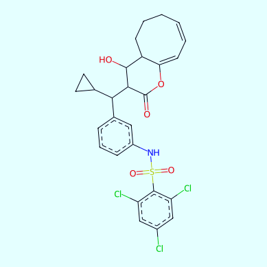 O=C1OC2=CC=CCCCC2C(O)C1C(c1cccc(NS(=O)(=O)c2c(Cl)cc(Cl)cc2Cl)c1)C1CC1